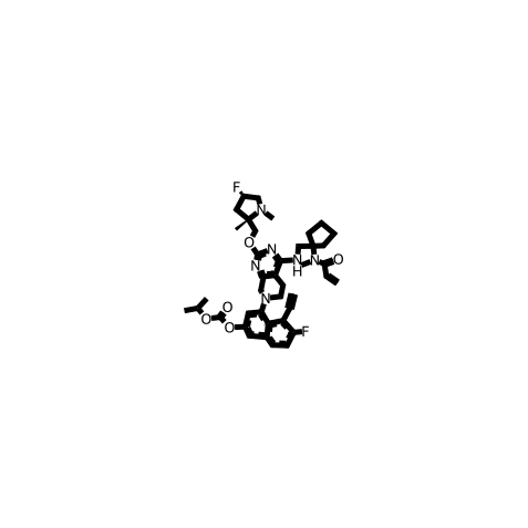 C#Cc1c(F)ccc2cc(OC(=O)OC(C)C)cc(N3CCc4c(nc(OC[C@]5(C)C[C@@H](F)CN5C)nc4NCC4(N(C)C(=O)C=C)CCCC4)C3)c12